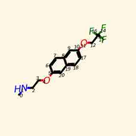 CNCCOc1ccc2cc(OCC(F)(F)F)ccc2c1